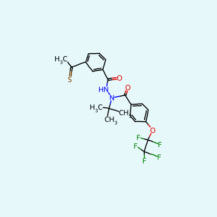 CC(=S)c1cccc(C(=O)NN(C(=O)c2ccc(OC(F)(F)C(F)(F)F)cc2)C(C)(C)C)c1